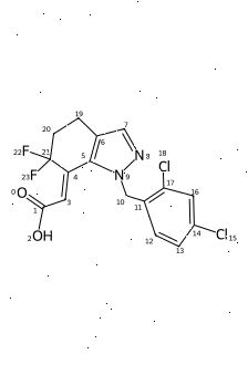 O=C(O)/C=C1/c2c(cnn2Cc2ccc(Cl)cc2Cl)CCC1(F)F